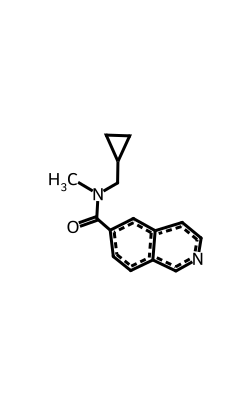 CN(CC1CC1)C(=O)c1ccc2cnccc2c1